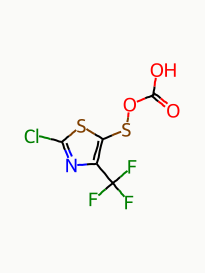 O=C(O)OSc1sc(Cl)nc1C(F)(F)F